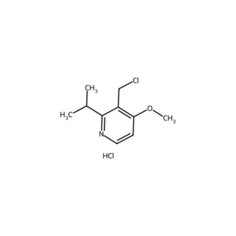 COc1ccnc(C(C)C)c1CCl.Cl